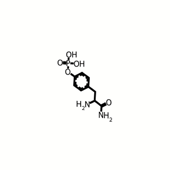 NC(=O)C(N)Cc1ccc(OP(=O)(O)O)cc1